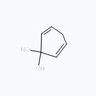 OC1(O)C=[C][CH]C=C1